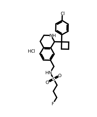 Cl.O=S(=O)(CCCF)NCc1ccc2c(c1)C(C1(c3ccc(Cl)cc3)CCC1)NCC2